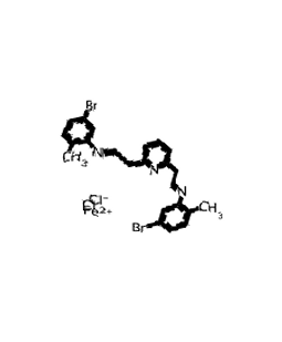 Cc1ccc(Br)cc1N=CCc1cccc(CC=Nc2cc(Br)ccc2C)n1.[Cl-].[Cl-].[Fe+2]